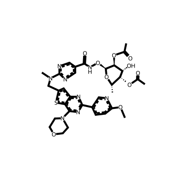 COc1ccc(-c2nc(N3CCOCC3)c3sc(CN(C)c4ncc(C(=O)NO[C@@H]5O[C@@H](C)[C@@H](OC(C)=O)[C@@H](O)[C@@H]5OC(C)=O)cn4)cc3n2)cn1